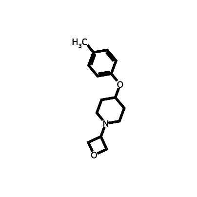 Cc1ccc(OC2CCN(C3COC3)CC2)cc1